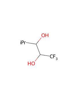 CC(C)C(O)C(O)C(F)(F)F